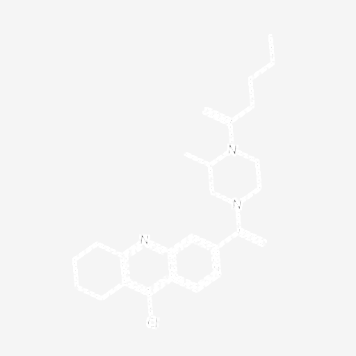 C=C(c1ccc2c(Cl)c3c(nc2c1)CCCC3)N1CCN(C(=C)CCCC)C(C)C1